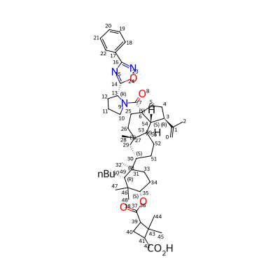 C=C(C)[C@@H]1CC[C@]2(C(=O)N3CCC[C@@H]3c3nc(-c4ccccc4)no3)CC[C@@]3(C)C[C@@H]([C@@]4(C)CC[C@H](OC(=O)C5CC(C(=O)O)C5(C)C)C(C)(C)[C@@H]4CCCC)CC[C@@H]3[C@@H]12